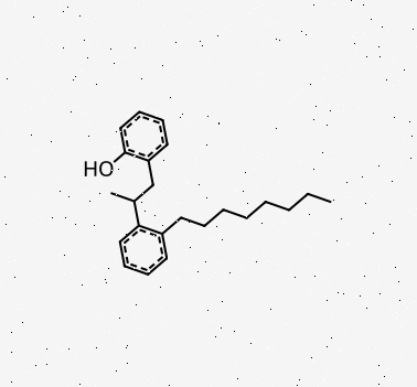 CCCCCCCCc1ccccc1C(C)Cc1ccccc1O